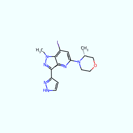 C[C@@H]1COCCN1c1cc(I)c2c(n1)c(-c1cc[nH]n1)nn2C